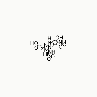 COC(=O)NNC1N=C(SCC(=O)O)N=C2Nc3cc(O)c(NC(=O)OC)cc3CN21